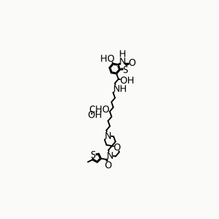 Cc1cc(C(=O)N2CCOC3(CCN(CCCCCCCCCNCC(O)c4ccc(O)c5[nH]c(=O)sc45)CC3)C2)cs1.O=CO